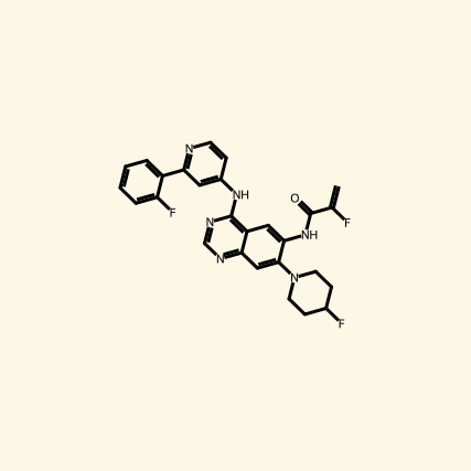 C=C(F)C(=O)Nc1cc2c(Nc3ccnc(-c4ccccc4F)c3)ncnc2cc1N1CCC(F)CC1